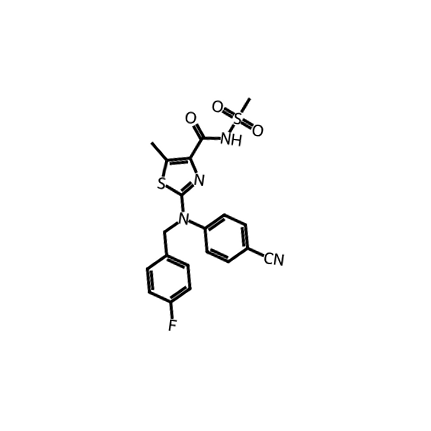 Cc1sc(N(Cc2ccc(F)cc2)c2ccc(C#N)cc2)nc1C(=O)NS(C)(=O)=O